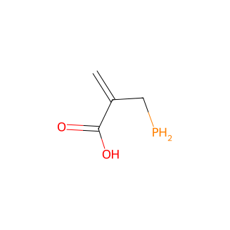 C=C(CP)C(=O)O